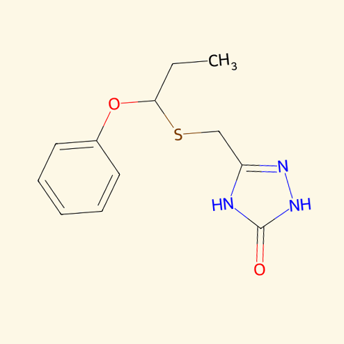 CCC(Oc1ccccc1)SCc1n[nH]c(=O)[nH]1